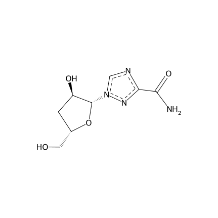 NC(=O)c1ncn([C@@H]2O[C@H](CO)C[C@H]2O)n1